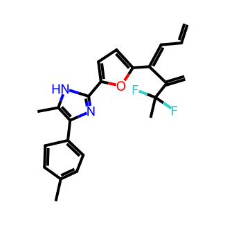 C=C/C=C(\C(=C)C(C)(F)F)c1ccc(-c2nc(-c3ccc(C)cc3)c(C)[nH]2)o1